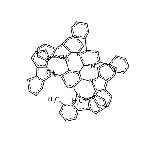 Cc1cccc2c3ccccc3n(-c3nc(-n4c5ccccc5c5cccc(C)c54)c(-n4c5ccccc5c5cccc(C)c54)c(-c4nc(-c5ccccc5)cc(-c5ccccc5)n4)c3-n3c4ccccc4c4cccc(C)c43)c12